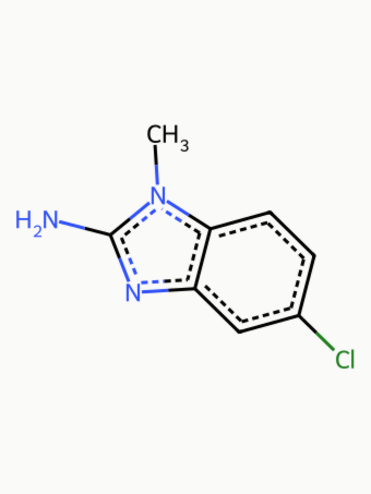 Cn1c(N)nc2cc(Cl)ccc21